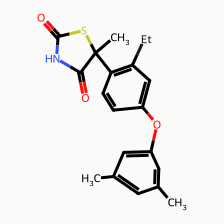 CCc1cc(Oc2cc(C)cc(C)c2)ccc1C1(C)SC(=O)NC1=O